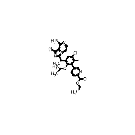 CCOC(=O)c1ccc(-c2c(F)c(Cl)cc(C(C)c3nc(Cl)c4c(N)nccn34)c2OC(C)C)cn1